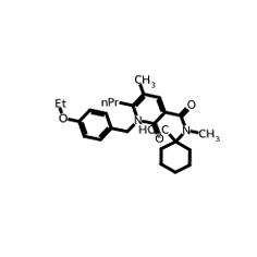 CCCc1c(C)cc(C(=O)N(C)C2(C(=O)O)CCCCC2)c(=O)n1Cc1ccc(OCC)cc1